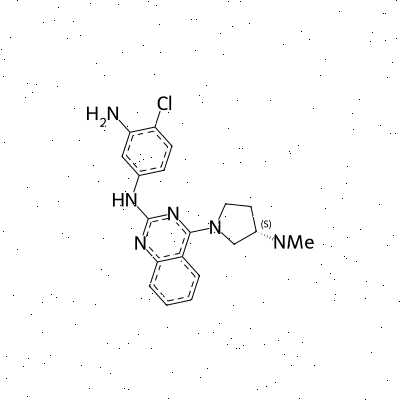 CN[C@H]1CCN(c2nc(Nc3ccc(Cl)c(N)c3)nc3ccccc23)C1